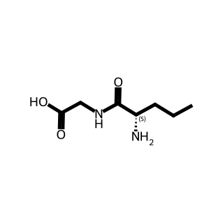 CCC[C@H](N)C(=O)NCC(=O)O